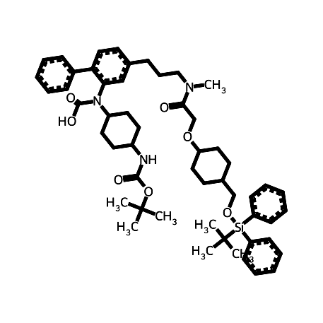 CN(CCCc1ccc(-c2ccccc2)c(N(C(=O)O)C2CCC(NC(=O)OC(C)(C)C)CC2)c1)C(=O)COC1CCC(CO[Si](c2ccccc2)(c2ccccc2)C(C)(C)C)CC1